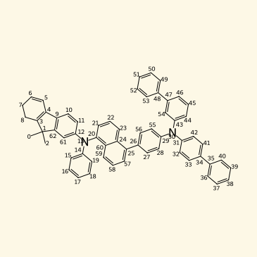 CC1(C)C2=C(C=CCC2)c2ccc(N(c3ccccc3)c3cccc4c(-c5ccc(N(c6ccc(-c7ccccc7)cc6)c6cccc(-c7ccccc7)c6)cc5)cccc34)cc21